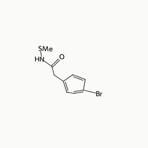 CSNC(=O)Cc1ccc(Br)cc1